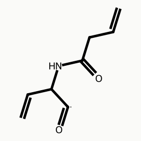 C=CCC(=O)NC([C]=O)C=C